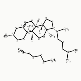 CC(CCCC(O)C(F)(F)F)[C@H]1CC[C@H]2[C@@H]3CC=C4C[C@@H](O)CC[C@]4(C)[C@H]3CC[C@]12C.CCCCCC=O